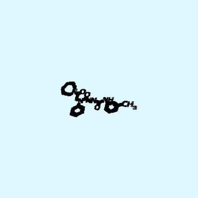 Cc1cccc(NC(=O)NCC(=O)N(CC(=O)N2CCCCCC2)c2ccccc2)c1